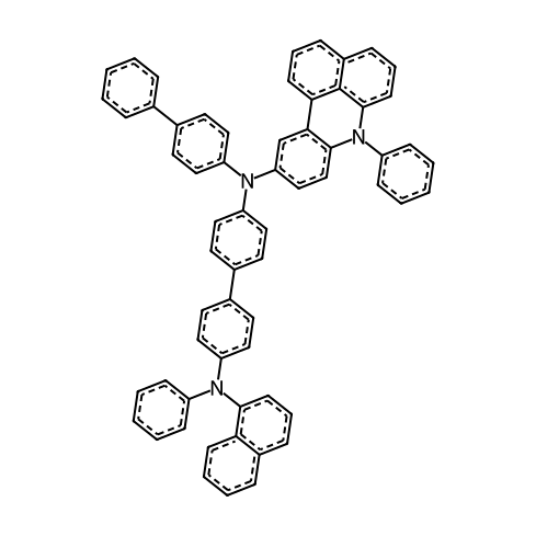 c1ccc(-c2ccc(N(c3ccc(-c4ccc(N(c5ccccc5)c5cccc6ccccc56)cc4)cc3)c3ccc4c(c3)-c3cccc5cccc(c35)N4c3ccccc3)cc2)cc1